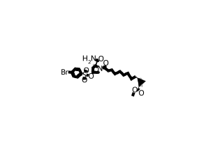 COC(=O)[C@H]1C[C@H]1CCCCCCCCC(=O)N1C[C@@H](OS(=O)(=O)c2ccc(Br)cc2)C[C@H]1C(N)=O